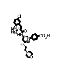 O=C(/C=C/c1cc(Cl)ccc1-n1cnnn1)N[C@H](CNc1ccc(C(=O)O)cc1)CC(=O)NCCN1CCOCC1